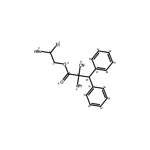 CCCCC(CC)COC(=O)C(C#N)(CCC)C(c1ccccc1)c1ccccc1